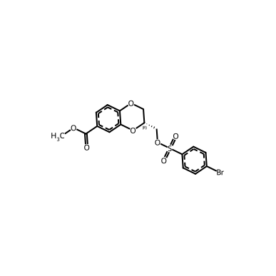 COC(=O)c1ccc2c(c1)O[C@@H](COS(=O)(=O)c1ccc(Br)cc1)CO2